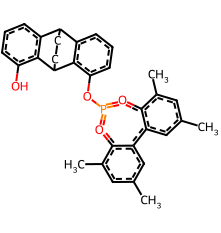 Cc1cc(C)c2op(Oc3cccc4c3C3CCC4c4cccc(O)c43)oc3c(C)cc(C)cc3c2c1